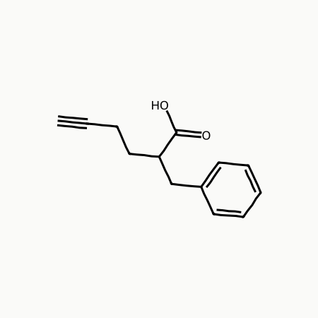 C#CCCC(Cc1ccccc1)C(=O)O